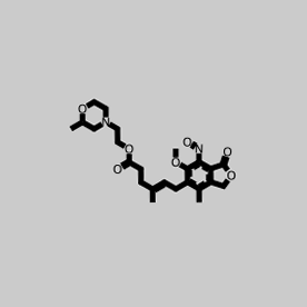 COc1c(C/C=C(\C)CCC(=O)OCCN2CCOC(C)C2)c(C)c2c(c1N=O)C(=O)OC2